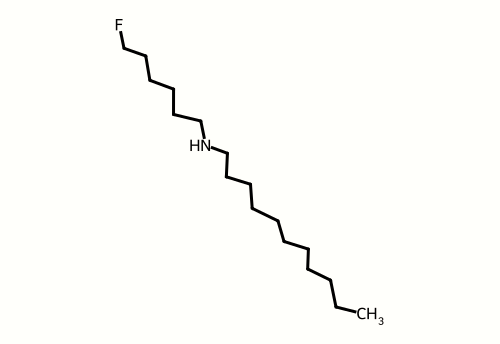 CCCCCCCCCCCNCCCCCCF